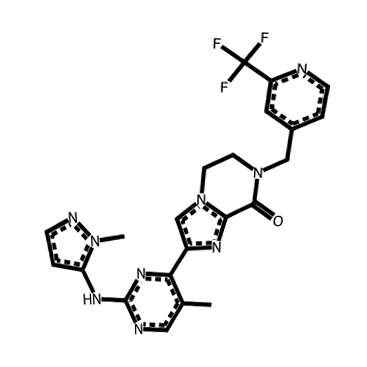 Cc1cnc(Nc2ccnn2C)nc1-c1cn2c(n1)C(=O)N(Cc1ccnc(C(F)(F)F)c1)CC2